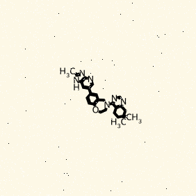 Cc1nc2ncc(-c3ccc4c(c3)CN(c3ncnc5c3CCC(C)(C)C5)CCO4)cc2[nH]1